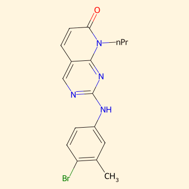 CCCn1c(=O)ccc2cnc(Nc3ccc(Br)c(C)c3)nc21